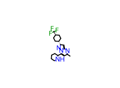 Cc1cc(C2CCCCN2)n2nc([C@H]3CC[C@H](C(F)(F)F)CC3)cc2n1